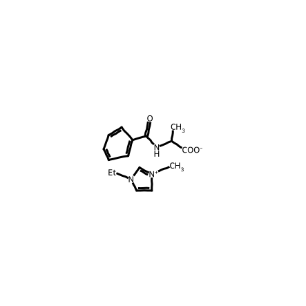 CC(NC(=O)c1ccccc1)C(=O)[O-].CCn1cc[n+](C)c1